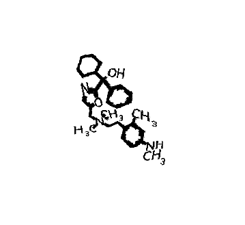 CNc1ccc(CC[N+](C)(C)Cc2cnc(C(O)(c3ccccc3)C3CCCCC3)o2)c(C)c1